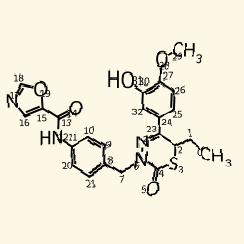 CCC1SC(=O)N(Cc2ccc(NC(=O)c3cnco3)cc2)N=C1c1ccc(OC)c(O)c1